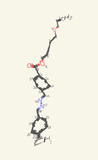 C=CCOCCCCOC(=O)c1ccc(/C=N/N=C/c2ccc(C)cc2)cc1